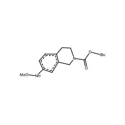 CONc1ccc2c(c1)CN(C(=O)OC(C)(C)C)CC2